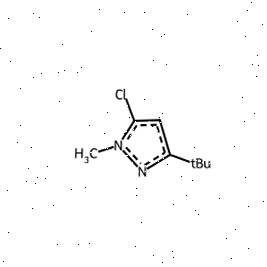 Cn1nc(C(C)(C)C)cc1Cl